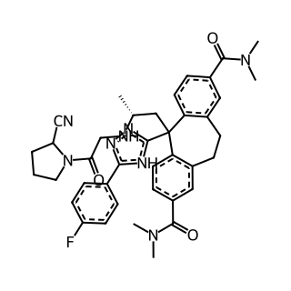 C[C@H](CC1(c2nnc(-c3ccc(F)cc3)[nH]2)c2ccc(C(=O)N(C)C)cc2CCc2cc(C(=O)N(C)C)ccc21)NCC(=O)N1CCCC1C#N